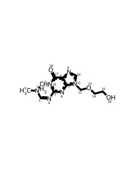 CN(C)/C=N\c1nc2c(ncn2COCCO)c(=O)[nH]1